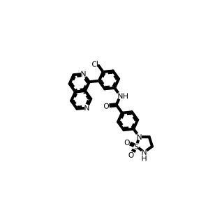 O=C(Nc1ccc(Cl)c(-c2nccc3ccncc23)c1)c1ccc(N2CCNS2(=O)=O)cc1